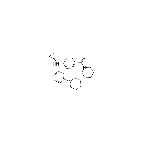 O=C(c1ccc(NC2CC2)cc1)N1CCCCC1.c1ccc(N2CCCCC2)cc1